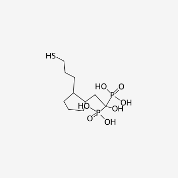 O=P(O)(O)C(O)(CC1CCCC1CCCS)P(=O)(O)O